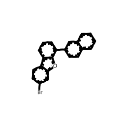 Brc1ccc2c(c1)oc1c(-c3ccc4ccccc4c3)cccc12